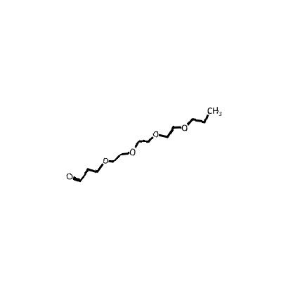 CCCOCCOCCOCCOCCC=O